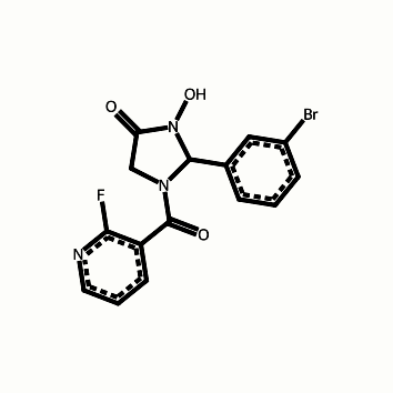 O=C1CN(C(=O)c2cccnc2F)C(c2cccc(Br)c2)N1O